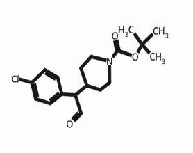 CC(C)(C)OC(=O)N1CCC(C(C=O)c2ccc(Cl)cc2)CC1